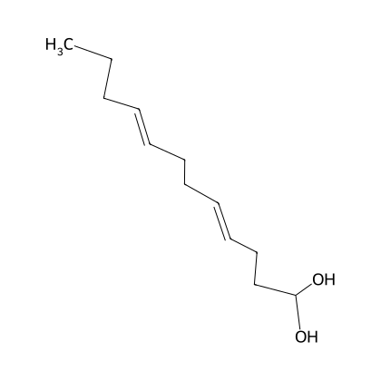 CCCC=CCCC=CCCC(O)O